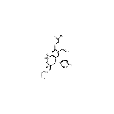 CCCC[C@]1(CC)CN(c2ccc(F)cc2)c2cc(SC)c(OCC(=O)O)cc2S(=O)(=O)C1